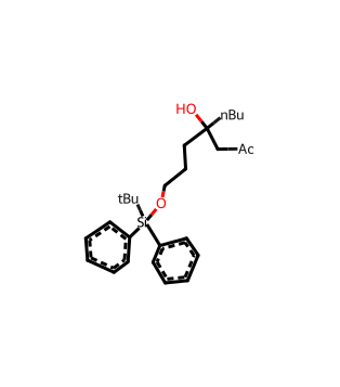 CCCCC(O)(CCCO[Si](c1ccccc1)(c1ccccc1)C(C)(C)C)CC(C)=O